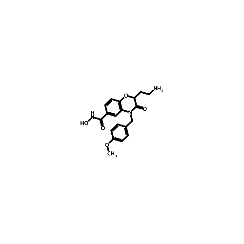 COc1ccc(CN2C(=O)C(CCN)Oc3ccc(C(=O)NO)cc32)cc1